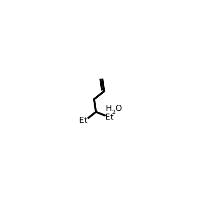 C=CCC(CC)CC.O